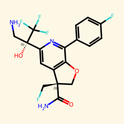 NC[C@](O)(c1cc2c(c(-c3ccc(F)cc3)n1)OC[C@]2(CF)C(N)=O)C(F)(F)F